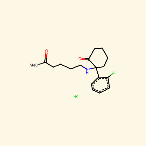 COC(=O)CCCCNC1(c2ccccc2Cl)CCCCC1=O.Cl